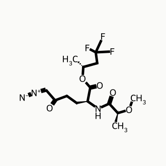 CO[C@@H](C)C(=O)N[C@@H](CCC(=O)C=[N+]=[N-])C(=O)O[C@H](C)CC(F)(F)F